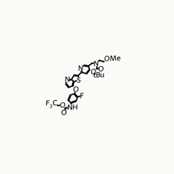 COCCN(Cc1ccc(-c2cc3nccc(Oc4ccc(NC(=O)OCC(F)(F)F)cc4F)c3s2)nc1)C(=O)OC(C)(C)C